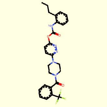 CCCc1ccccc1NC(=O)Oc1ccc(N2CCN(C(=O)c3ccccc3C(F)(F)F)CC2)nn1